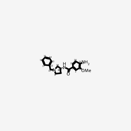 COc1cc(C(=O)N[C@@H]2CCN(Cc3ccccc3)C2)ccc1N